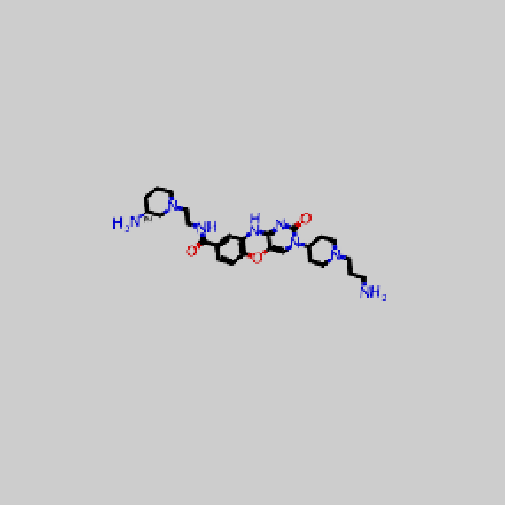 NCCCN1CCC(n2cc3c(nc2=O)Nc2cc(C(=O)NCCN4CCC[C@H](N)C4)ccc2O3)CC1